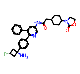 N[C@]1(c2ccc(-c3ncc(NC(=O)CC4CCC(N5CCOC5=O)CC4)cc3-c3ccccc3)cc2)C[C@@H](F)C1